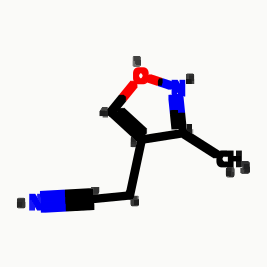 Cc1nocc1CC#N